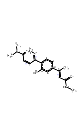 C=C(/C=C\C(=N/C)c1ccc(/C(C)=C/C(=O)NC)cc1O)N(C)C